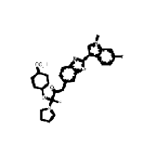 Cn1cc(-c2nc3ccc(CC(=O)C(F)(OC4CCC(C(=O)O)CC4)N4CCCC4)cc3o2)c2ccc(F)cc21